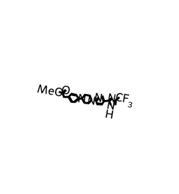 COC(=O)Cc1ccc(N2CCN(c3ccc(-c4nc(C(F)(F)F)c[nH]4)cn3)CC2)cc1